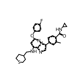 Cc1cc(-c2cnc3c(NCC4CCSCC4)cc(Oc4ccc(F)cc4)nn23)ccc1C(=O)NC1CC1